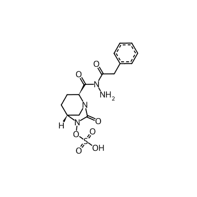 NN(C(=O)Cc1ccccc1)C(=O)[C@@H]1CC[C@@H]2CN1C(=O)N2OS(=O)(=O)O